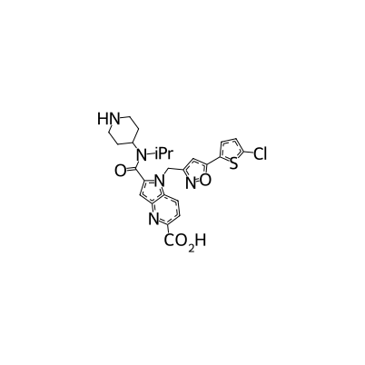 CC(C)N(C(=O)c1cc2nc(C(=O)O)ccc2n1Cc1cc(-c2ccc(Cl)s2)on1)C1CCNCC1